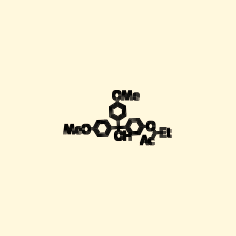 [CH2]CC(Oc1ccc(C(O)(c2ccc(OC)cc2)c2ccc(OC)cc2)cc1)C(C)=O